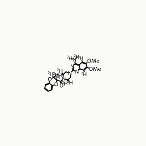 [2H]c1c(OC)c(OC)c([2H])c2c(N([2H])[2H])nc(N3CC([2H])([2H])N(C(=O)C4([2H])Oc5ccccc5OC4([2H])[2H])C([2H])([2H])C3)nc12